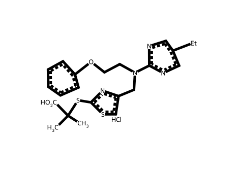 CCc1cnc(N(CCOc2ccccc2)Cc2csc(SC(C)(C)C(=O)O)n2)nc1.Cl